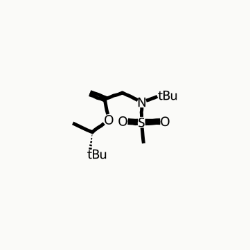 C=C(CN(C(C)(C)C)S(C)(=O)=O)O[C@@H](C)C(C)(C)C